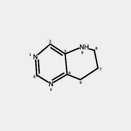 [c]1ncc2c(n1)CCCN2